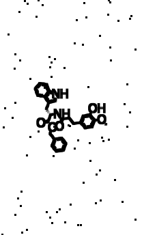 COc1ccc(CCC(=O)N[C@@H](Cc2c[nH]c3ccccc23)C(=O)OCc2ccccc2)cc1O